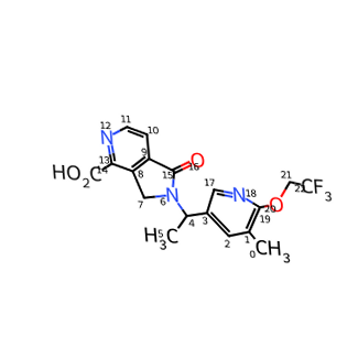 Cc1cc(C(C)N2Cc3c(ccnc3C(=O)O)C2=O)cnc1OCC(F)(F)F